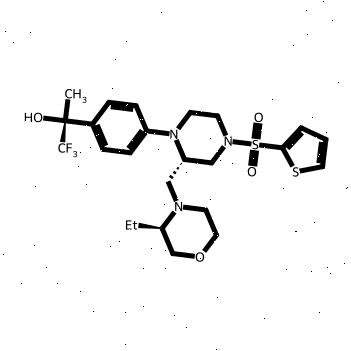 CC[C@@H]1COCCN1C[C@H]1CN(S(=O)(=O)c2cccs2)CCN1c1ccc([C@@](C)(O)C(F)(F)F)cc1